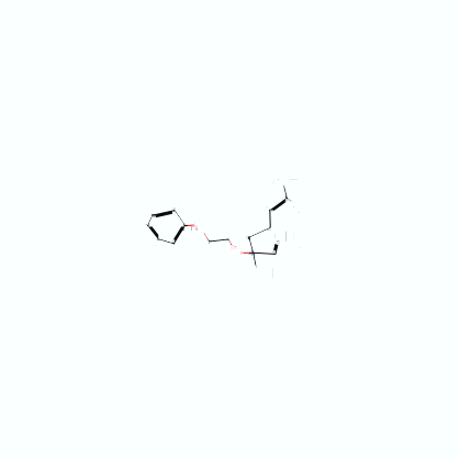 C=CC(C)(CCC=C(C)C)OCCOc1ccccc1